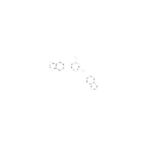 Nc1nc(NCc2ccc3cc[nH]c3c2)ncc1Cc1ccc2[nH]cnc2c1